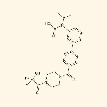 CC(C)N(C(=O)O)c1cccc(-c2ccc(C(=O)N3CCN(C(=O)C4(O)CC4)CC3)cc2)c1